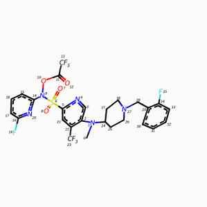 CN(c1cnc(S(=O)(=O)N(OC(=O)C(F)(F)F)c2cccc(F)n2)cc1C(F)(F)F)C1CCN(Cc2ccccc2F)CC1